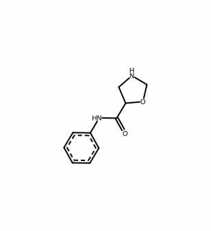 O=C(Nc1ccccc1)C1CNCO1